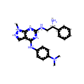 CN(C)c1ccc(Nc2nc(NC[C@H](N)c3ccccc3)nc3c2cnn3C)cc1